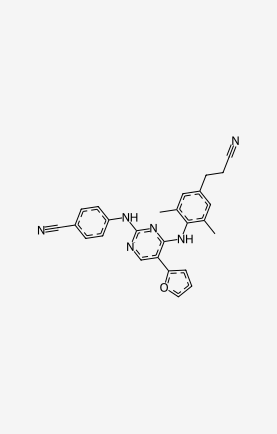 Cc1cc(CCC#N)cc(C)c1Nc1nc(Nc2ccc(C#N)cc2)ncc1-c1ccco1